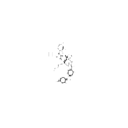 CCCCCN1C(=O)C([C@H](O)C2CCCCC2)NC(=O)C12CCN(Cc1ccc(Oc3ccc(C)cc3)cc1)CC2